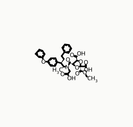 CCOC(=O)[C@@]1(C(=O)O)O[C@H](C(=O)O)[C@@H](C(=O)N(CC(=O)O)[C@H](C)[C@H](CCc2ccccc2)c2ccc(Oc3ccccc3)cc2)O1